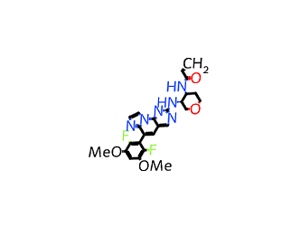 C=CC(=O)N[C@H]1CCOC[C@H]1Nc1ncc2cc(-c3c(F)c(OC)cc(OC)c3F)c3nccn3c2n1